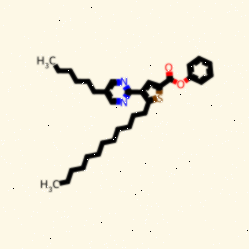 CCCCCCCCCCCCc1sc(C(=O)Oc2ccccc2)cc1-c1ncc(CCCCCC)cn1